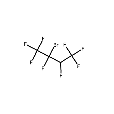 FC(C(F)(F)F)C(F)(Br)C(F)(F)F